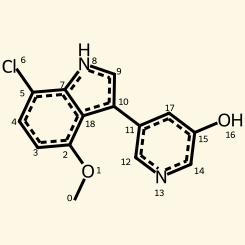 COc1ccc(Cl)c2[nH]cc(-c3cncc(O)c3)c12